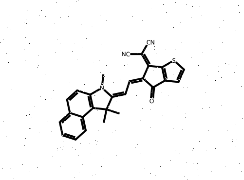 CN1/C(=C\C=C2/C(=O)c3ccsc3C2=C(C#N)C#N)C(C)(C)c2c1ccc1ccccc21